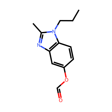 CCCn1c(C)nc2cc(OC=O)ccc21